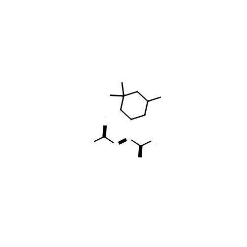 CC1CCCC(C)(C)C1.NC(=O)N=NC(N)=O